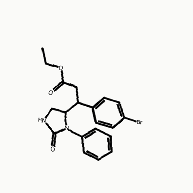 CCOC(=O)CC(c1ccc(Br)cc1)C1CNC(=O)N1c1ccccc1